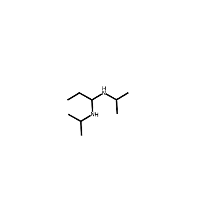 CCC(NC(C)C)NC(C)C